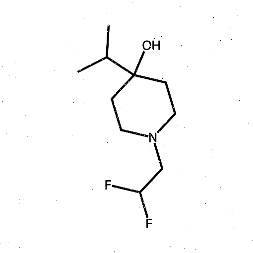 CC(C)C1(O)CCN(CC(F)F)CC1